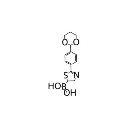 OB(O)c1cnc(-c2ccc(C3OCCCO3)cc2)s1